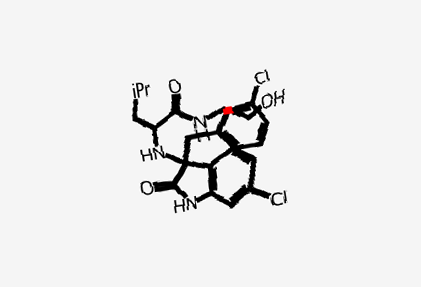 CC(C)CC(NC1(Cc2cccc(Cl)c2)C(=O)Nc2cc(Cl)ccc21)C(=O)NCCO